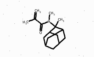 C=C(C)C(=O)N(C)C1(C)C2CC3CC(C2)CC1C3